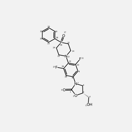 O=C1O[C@@H](CO)CN1c1cc(F)c(N2CCP(=O)(c3ccccc3)CC2)c(F)c1